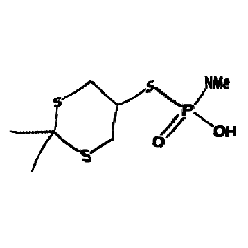 CNP(=O)(O)SC1CSC(C)(C)SC1